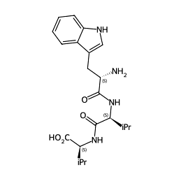 CC(C)[C@H](NC(=O)[C@@H](NC(=O)[C@@H](N)Cc1c[nH]c2ccccc12)C(C)C)C(=O)O